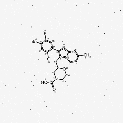 Cc1ccn2c(CC3CN(C(=O)O)CCO3)c(-c3cc(F)c(Br)cc3Cl)nc2c1